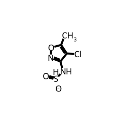 Cc1onc(N[SH](=O)=O)c1Cl